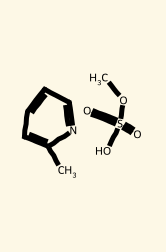 COS(=O)(=O)O.Cc1ccccn1